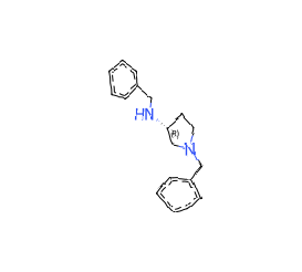 c1ccc(CN[C@@H]2CCN(Cc3ccccc3)C2)cc1